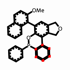 COc1ccc2ccccc2c1-c1cc2c(c(-c3ccccc3)c1OP(c1ccccc1)c1ccccc1)COC2